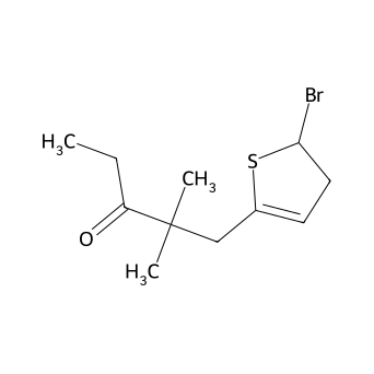 CCC(=O)C(C)(C)CC1=CCC(Br)S1